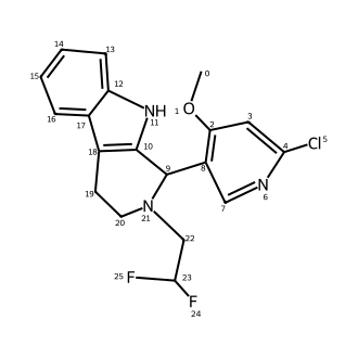 COc1cc(Cl)ncc1C1c2[nH]c3ccccc3c2CCN1CC(F)F